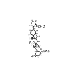 COc1ccc(F)cc1C(C)(C)CC(O)(Cc1cc2cc(C3CCCN3C=O)ccc2[nH]1)C(F)(F)F